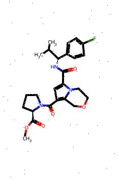 COC(=O)[C@H]1CCCN1C(=O)c1cc(C(=O)N[C@@H](c2ccc(F)cc2)C(C)C)n2c1COCC2